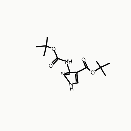 CC(C)(C)OC(=O)Nc1n[nH]cc1C(=O)OC(C)(C)C